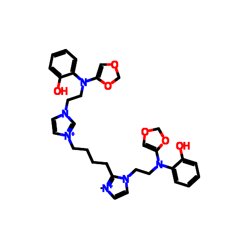 Oc1ccccc1N(CCN1C=C[N+]=C1CCCC[n+]1ccn(CCN(C2=COCO2)c2ccccc2O)c1)C1=COCO1